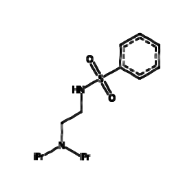 CC(C)N(CCNS(=O)(=O)c1ccccc1)C(C)C